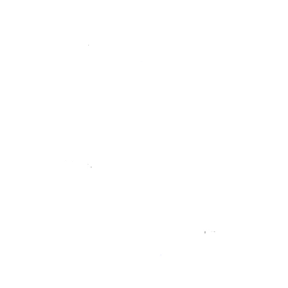 CCCCC/C=C\C/C=C\CCCCCCCCN(CCCC)CCCCCCCC/C=C\C/C=C\CCCCC